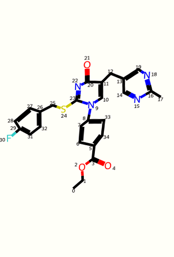 CCOC(=O)c1ccc(-n2cc(Cc3cnc(C)nc3)c(=O)nc2SCc2ccc(F)cc2)cc1